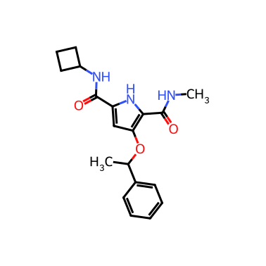 CNC(=O)c1[nH]c(C(=O)NC2CCC2)cc1OC(C)c1ccccc1